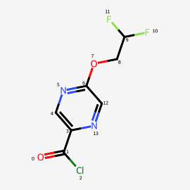 O=C(Cl)c1cnc(OCC(F)F)cn1